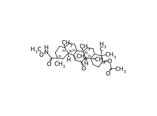 CONC(=O)[C@@]1(C)CC[C@]2(C)CC[C@]3(C)C(=CC(=O)[C@@H]4[C@@]5(C)CC[C@H](OC(C)=O)C(C)(C)C5CC[C@]43C)[C@@H]2C1